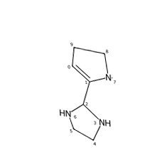 C1=C(C2NCCN2)[N]CC1